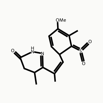 COC1=C(C)C(=S(=O)=O)C(C=C(C)C2=NNC(=O)CC2C)C=C1